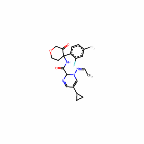 C/C=N\N1C=C(C2CC2)C=NC1C(=O)NC1(c2ccc(C(F)(F)F)cc2F)CCOCC1=O